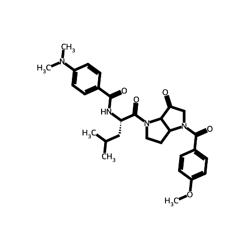 COc1ccc(C(=O)N2CC(=O)C3C2CCN3C(=O)[C@H](CC(C)C)NC(=O)c2ccc(N(C)C)cc2)cc1